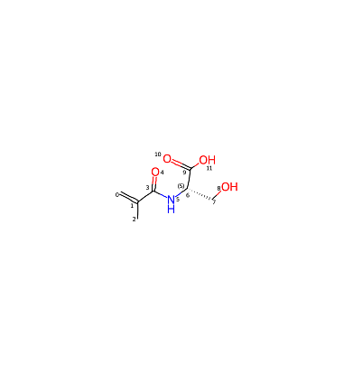 C=C(C)C(=O)N[C@@H](CO)C(=O)O